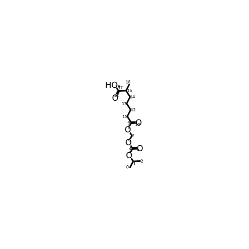 CC(C)OC(=O)OCOC(=O)CCCCC(C)C(=O)O